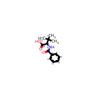 CC(C)(C)C(NC(=O)c1ccccc1)C(=O)O